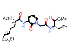 CCOC(=O)/C=C/CC[C@H](NC(C)=O)C(=O)Nc1cccn(CC(=O)N[C@@H](CC(C)C)C(=O)OC)c1=O